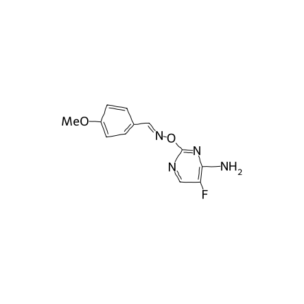 COc1ccc(C=NOc2ncc(F)c(N)n2)cc1